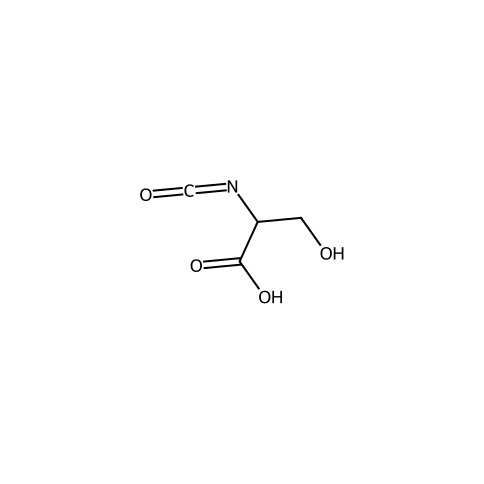 O=C=NC(CO)C(=O)O